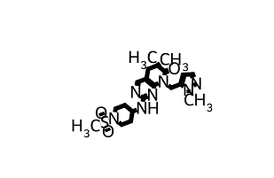 Cn1nccc1CN1C(=O)C(C)(C)Cc2cnc(NC3CCN(S(C)(=O)=O)CC3)nc21